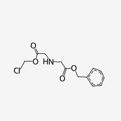 O=C(CNCC(=O)OCc1ccccc1)OCCl